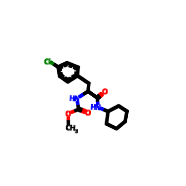 COC(=O)NC(Cc1ccc(Cl)cc1)C(=O)NC1CCCCC1